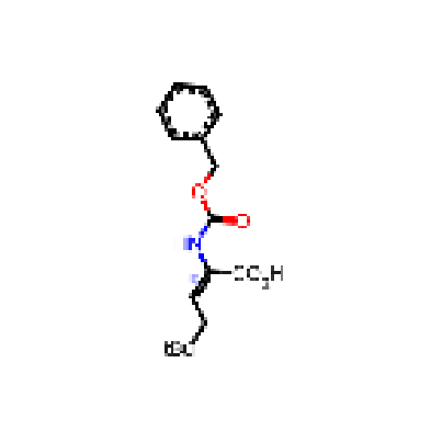 CC(C)(C)C/C=C(/NC(=O)OCc1ccccc1)C(=O)O